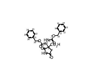 O=C1CC(C(=O)O)(N(NC(=O)OCc2ccccc2)C(=O)OCc2ccccc2)C(=O)N1